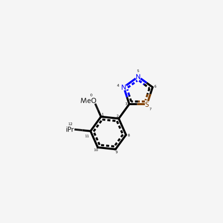 COc1c(-c2nncs2)cccc1C(C)C